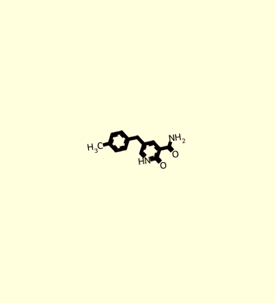 Cc1ccc(Cc2c[nH]c(=O)c(C(N)=O)c2)cc1